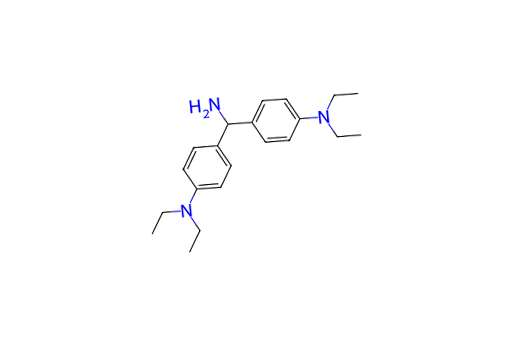 CCN(CC)c1ccc(C(N)c2ccc(N(CC)CC)cc2)cc1